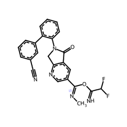 C/N=C(\OC(=N)C(F)F)c1cnc2c(c1)C(=O)N(c1ccccc1-c1cccc(C#N)c1)C2